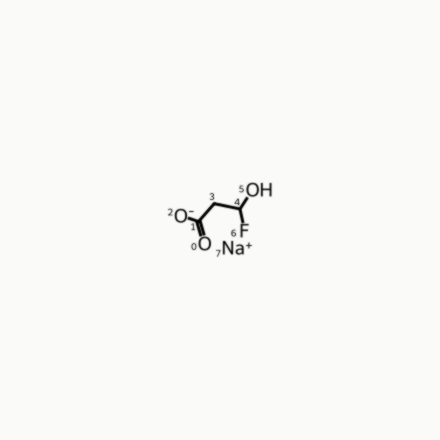 O=C([O-])CC(O)F.[Na+]